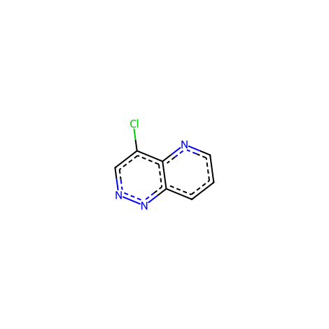 Clc1cnnc2cccnc12